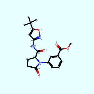 COC(=O)c1cccc(N2C(=O)CCC2C(=O)Nc2cc(C(C)(C)C)on2)c1